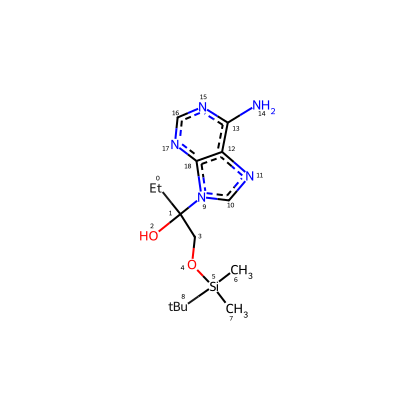 CCC(O)(CO[Si](C)(C)C(C)(C)C)n1cnc2c(N)ncnc21